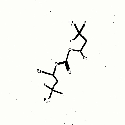 CCC(CC(F)(F)C(F)(F)F)OC(=O)OC(CC)CC(F)(F)C(F)(F)F